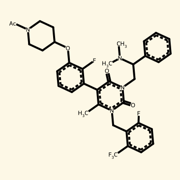 CC(=O)N1CCC(Oc2cccc(-c3c(C)n(Cc4c(F)cccc4C(F)(F)F)c(=O)n(CC(c4ccccc4)N(C)C)c3=O)c2F)CC1